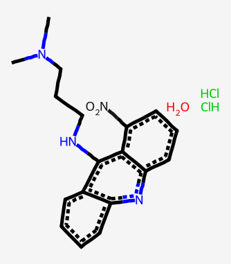 CN(C)CCCNc1c2ccccc2nc2cccc([N+](=O)[O-])c12.Cl.Cl.O